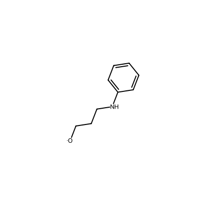 [O]CCCNc1ccccc1